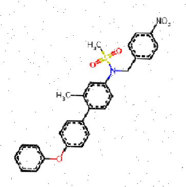 Cc1cc(N(Cc2ccc([N+](=O)[O-])cc2)S(C)(=O)=O)ccc1-c1ccc(Oc2ccccc2)cc1